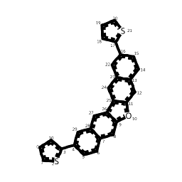 c1csc(-c2ccc3cc4oc5cc6ccc(-c7cccs7)cc6cc5c4cc3c2)c1